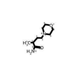 C[C](CCN1CCOCC1)C(N)=O